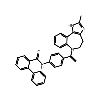 C=C(c1ccc(NC(=O)c2ccccc2-c2ccccc2)cc1)N1CCc2nc(C)[nH]c2-c2ccccc21